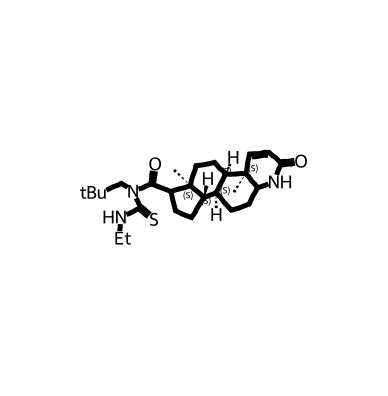 CCNC(=S)N(CC(C)(C)C)C(=O)C1CC[C@H]2[C@@H]3CCC4NC(=O)C=C[C@]4(C)[C@@H]3CC[C@]12C